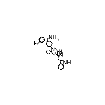 NC[C@]1(c2cccc(CI)c2)CC[C@H](N2Cc3nnc(Cc4c[nH]c5ccccc45)n3CC2=O)CC1